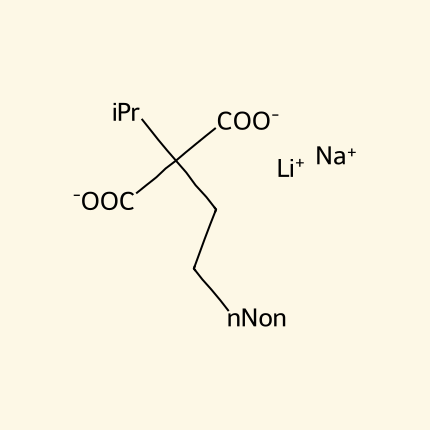 CCCCCCCCCCCC(C(=O)[O-])(C(=O)[O-])C(C)C.[Li+].[Na+]